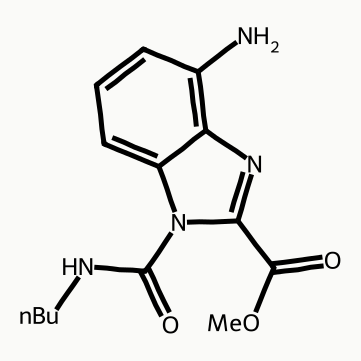 CCCCNC(=O)n1c(C(=O)OC)nc2c(N)cccc21